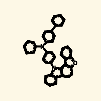 c1ccc(-c2ccc(N(c3ccccc3)c3ccc(-n4c5ccccc5c5ccc6oc7ccccc7c6c54)cc3)cc2)cc1